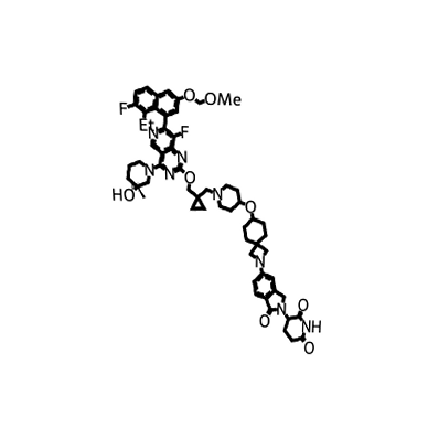 CCc1c(F)ccc2cc(OCOC)cc(-c3ncc4c(N5CCC[C@@](C)(O)C5)nc(OCC5(CN6CCC(OC7CCC8(CC7)CN(c7ccc9c(c7)CN(C7CCC(=O)NC7=O)C9=O)C8)CC6)CC5)nc4c3F)c12